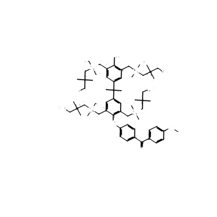 COc1ccc(C(=O)c2ccc(Oc3c(C[N+](C)(C)CC(C)(C)CO)cc(C(C)(C)c4cc(C[N+](C)(C)CC(C)(C)CO)c(C)c(C[N+](C)(C)CC(C)(C)CO)c4)cc3C[N+](C)(C)CC(C)(C)CO)cc2)cc1